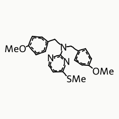 COc1ccc(CN(Cc2ccc(OC)cc2)c2nccc(SC)n2)cc1